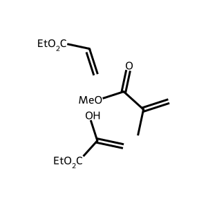 C=C(C)C(=O)OC.C=C(O)C(=O)OCC.C=CC(=O)OCC